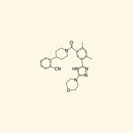 Cc1cc(C)c(-c2nnc(N3CCOCC3)[nH]2)cc1C(=O)N1CCC(c2ccccc2C#N)CC1